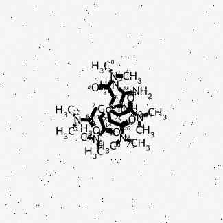 CN(C)C(=O)[CH2][Gd]([CH2]C(=O)N(C)C)([CH2]C(=O)N(C)C)([CH2]C(=O)N(C)C)([CH2]C(=O)N(C)C)[CH](N)C(N)N